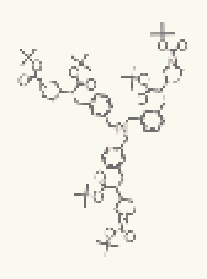 CC(C)(C)OC(=O)[C@@H](Cc1cccc(CN(Cc2cccc(C[C@H](C(=O)OC(C)(C)C)[C@H]3CCN(C(=O)OC(C)(C)C)C3)c2)Cc2cccc(C[C@H](C(=O)OC(C)(C)C)[C@H]3CCN(C(=O)OC(C)(C)C)C3)c2)c1)[C@H]1CCN(C(=O)OC(C)(C)C)C1